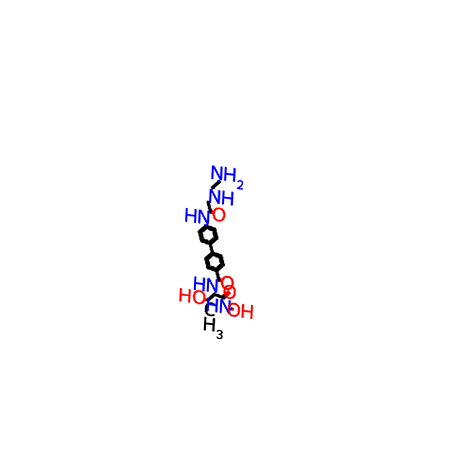 C[C@@H](O)[C@H](NC(=O)c1ccc(-c2ccc(NC(=O)CNCCN)cc2)cc1)C(=O)NO